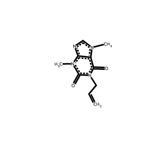 C=CCn1c(=O)c2c(ncn2C)n(C)c1=O